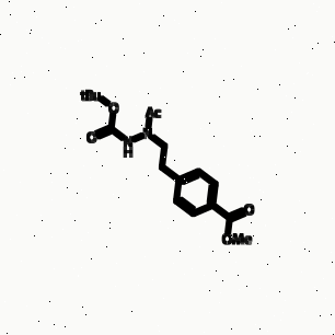 COC(=O)c1ccc(CCN(NC(=O)OC(C)(C)C)C(C)=O)cc1